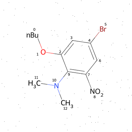 CCCCOc1cc(Br)cc([N+](=O)[O-])c1N(C)C